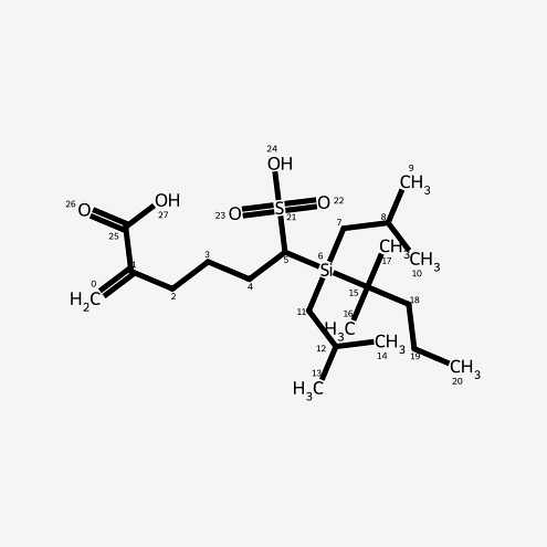 C=C(CCCC([Si](CC(C)C)(CC(C)C)C(C)(C)CCC)S(=O)(=O)O)C(=O)O